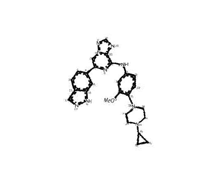 COc1cc(Nc2nc(-c3ccc4cn[nH]c4c3)cn3ncnc23)ccc1N1CCN(C2CC2)CC1